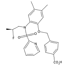 Cc1cc(OCc2ccc(C(=O)O)cc2)c(N(C[C@H](C)F)S(=O)(=O)c2ccccn2)cc1C